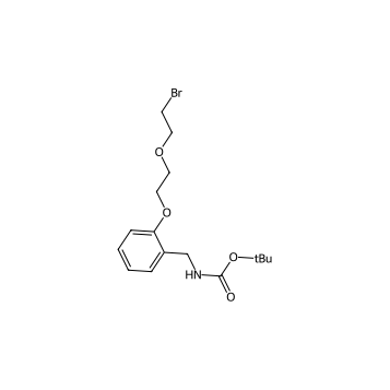 CC(C)(C)OC(=O)NCc1ccccc1OCCOCCBr